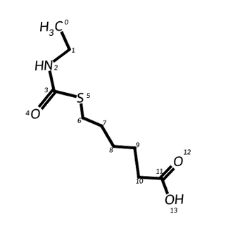 CCNC(=O)SCCCCCC(=O)O